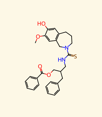 COc1cc2c(cc1O)CCCN(C(=S)NCC(COC(=O)c1ccccc1)Cc1ccccc1)C2